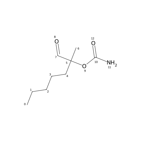 CCCCCC(C)(C=O)OC(N)=O